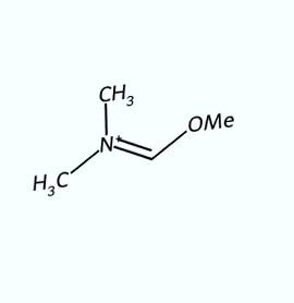 COC=[N+](C)C